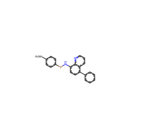 CC(=O)Nc1ccc(SNc2ccc(-c3ccccc3)c3cccnc23)cc1